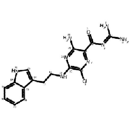 NC(N)=NC(=O)c1nc(Cl)c(NCCc2c[nH]c3ccccc23)nc1N